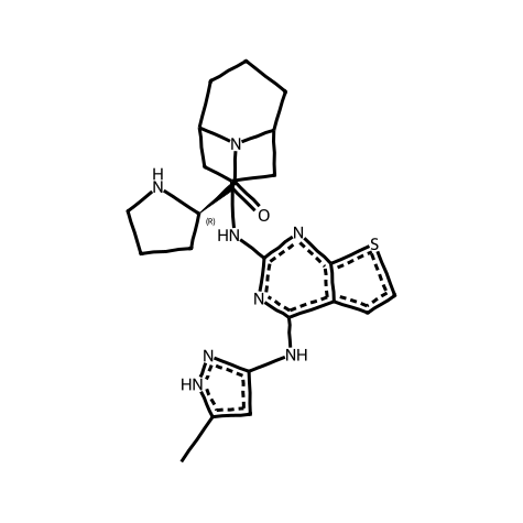 Cc1cc(Nc2nc(NC3CC4CCCC(C3)N4C(=O)[C@H]3CCCN3)nc3sccc23)n[nH]1